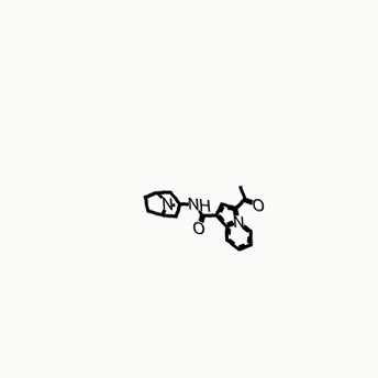 CC(=O)c1cc(C(=O)NC2CC3CCC(C2)N3C)c2ccccn12